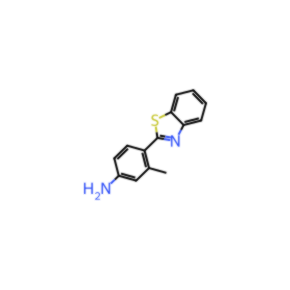 Cc1cc(N)ccc1-c1nc2ccccc2s1